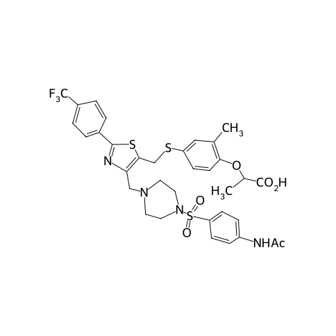 CC(=O)Nc1ccc(S(=O)(=O)N2CCN(Cc3nc(-c4ccc(C(F)(F)F)cc4)sc3CSc3ccc(OC(C)C(=O)O)c(C)c3)CC2)cc1